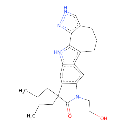 CCCC1(CCC)C(=O)N(CCO)c2cc3c4c([nH]c3cc21)-c1n[nH]cc1CCC4